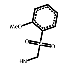 COc1ccccc1S(=O)(=O)C[NH]